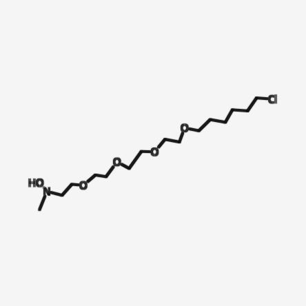 CN(O)CCOCCOCCOCCOCCCCCCCl